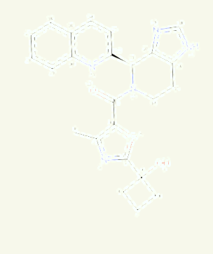 Cc1nc(C2(O)CCC2)oc1C(=O)N1CCc2[nH]cnc2[C@@H]1c1ccc2ccccc2n1